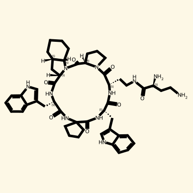 NCC[C@H](N)C(=O)NCC[C@@H]1NC(=O)[C@H](Cc2c[nH]c3ccccc23)NC(=O)C2(CCCC2)NC(=O)[C@H](Cc2c[nH]c3ccccc23)NC(=O)[C@@H]2C[C@@H]3CCCC[C@@H]3N2C(=O)[C@H]2CCCN2C1=O